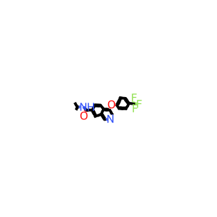 CC(C)NC(=O)c1ccc2c(Oc3ccc(C(F)(F)F)cc3)cncc2c1